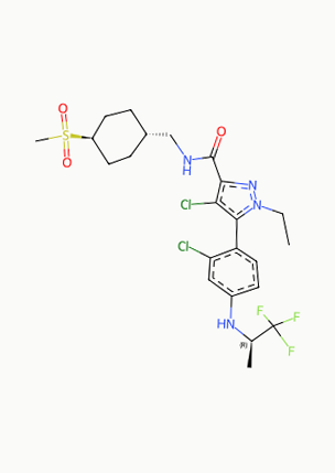 CCn1nc(C(=O)NC[C@H]2CC[C@H](S(C)(=O)=O)CC2)c(Cl)c1-c1ccc(N[C@H](C)C(F)(F)F)cc1Cl